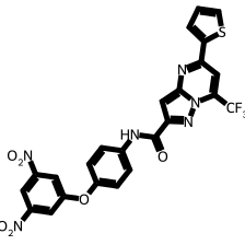 O=C(Nc1ccc(Oc2cc([N+](=O)[O-])cc([N+](=O)[O-])c2)cc1)c1cc2nc(-c3cccs3)cc(C(F)(F)F)n2n1